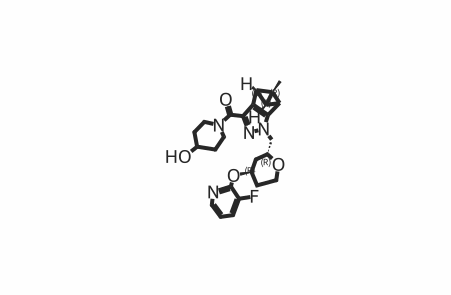 C[C@]12C3c4c(c(C(=O)N5CCC(O)CC5)nn4C[C@H]4C[C@H](Oc5ncccc5F)CCO4)[C@H]1[C@@H]32